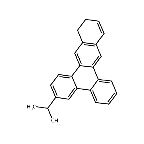 CC(C)c1ccc2c(c1)c1ccccc1c1cc3c(cc21)CCC=C3